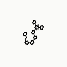 c1ccc(CCc2cccc(-c3cccc(-c4cccc(-c5cccc(-c6cc(-c7ccccc7)nc(-c7ccccc7)n6)c5)c4)c3)c2)cc1